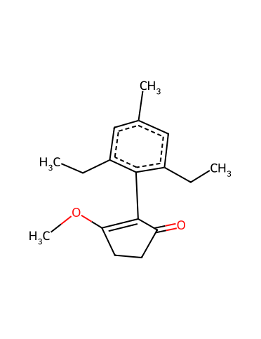 CCc1cc(C)cc(CC)c1C1=C(OC)CCC1=O